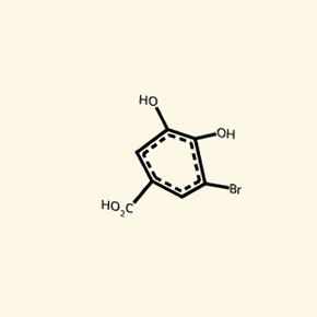 O=C(O)c1cc(O)c(O)c(Br)c1